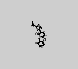 O=c1c(-c2nc(C3CC3)no2)cccn1Cc1c(F)cccc1Cl